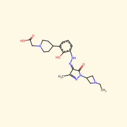 CCN1CC(N2N=C(C)C(=NNc3cccc(C4CCN(CC(=O)O)CC4)c3O)C2=O)C1